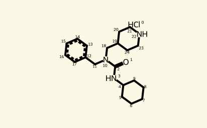 Cl.O=C(NC1CCCCC1)N(Cc1ccccc1)CC1CCNCC1